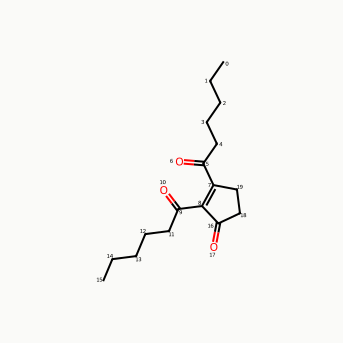 CCCCCC(=O)C1=C(C(=O)CCCCC)C(=O)CC1